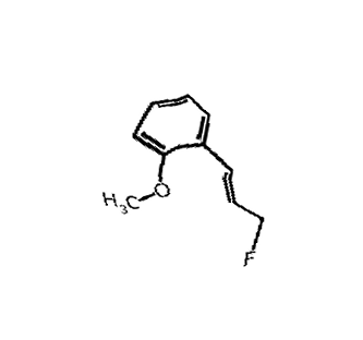 COc1ccccc1C=CCF